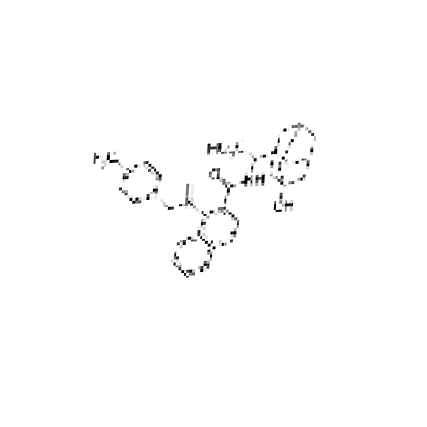 O=C(NC(C(=O)O)C12CC3CC(CC(O)(C3)C1)C2)c1ccc2ccccc2c1NCc1ccc(C(F)(F)F)cc1